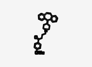 COc1ccc(C(=O)CCCN2CCC(=C3c4ccccc4C=Cc4ccccc43)CC2)cc1